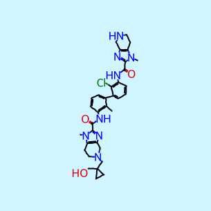 Cc1c(NC(=O)c2nc3c(n2C)CCN(CC2(CO)CC2)C3)cccc1-c1cccc(NC(=O)c2nc3c(n2C)CCNC3)c1Cl